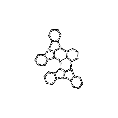 c1ccc2c(c1)c1c3n(c4cccc5c4-n1c1c4ccccc4n4c6ccccc6n5c14)c1ccccc1n23